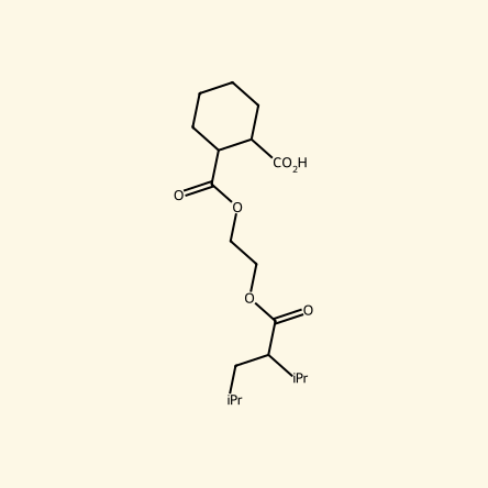 CC(C)CC(C(=O)OCCOC(=O)C1CCCCC1C(=O)O)C(C)C